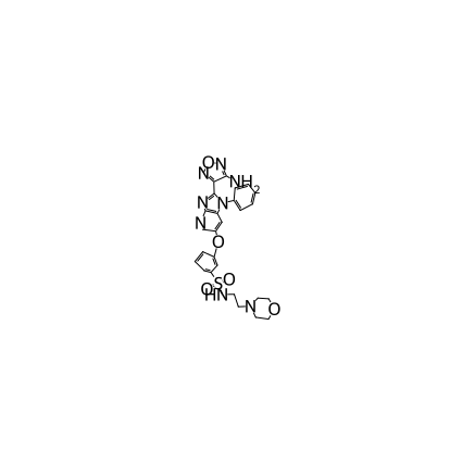 Nc1nonc1-c1nc2ncc(Oc3cccc(S(=O)(=O)NCCN4CCOCC4)c3)cc2n1-c1ccccc1